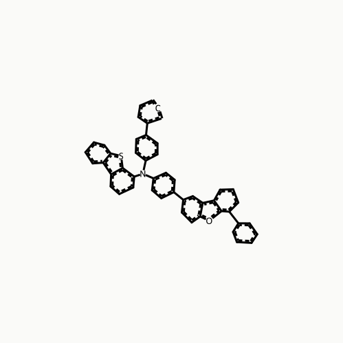 c1ccc(-c2ccc(N(c3ccc(-c4ccc5oc6c(-c7ccccc7)cccc6c5c4)cc3)c3cccc4c3sc3ccccc34)cc2)cc1